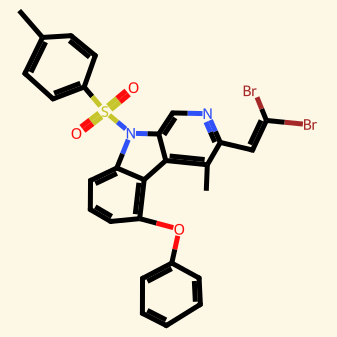 Cc1ccc(S(=O)(=O)n2c3cccc(Oc4ccccc4)c3c3c(C)c(C=C(Br)Br)ncc32)cc1